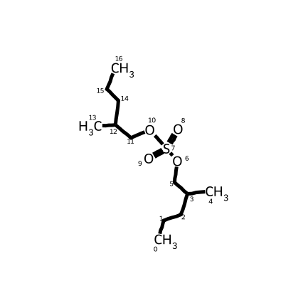 CCCC(C)COS(=O)(=O)OCC(C)CCC